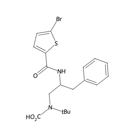 CC(C)(C)N(CC(Cc1ccccc1)NC(=O)c1ccc(Br)s1)C(=O)O